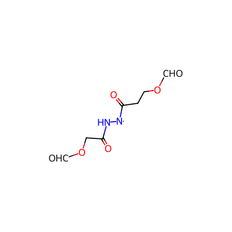 O=COCCC(=O)[N]NC(=O)COC=O